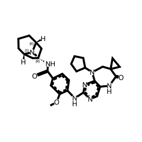 COc1cc(C(=O)N[C@H]2C[C@H]3CCC[C@@H](C2)N3C)ccc1Nc1ncc2c(n1)N(C1CCCC1)CC1(CC1)C(=O)N2